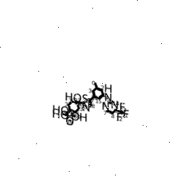 Cc1cc(Nc2nccc(C(F)(F)F)n2)cc(-c2cnc([C@]3(O)CC[C@@](O)(P(=O)(O)O)CC3)s2)c1